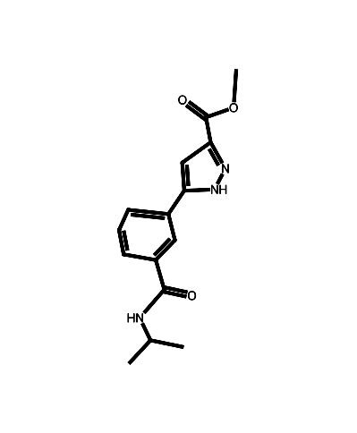 COC(=O)c1cc(-c2cccc(C(=O)NC(C)C)c2)[nH]n1